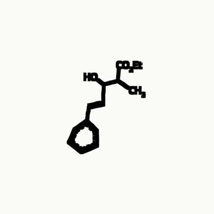 CCOC(=O)C(C)C(O)/C=C/c1ccccc1